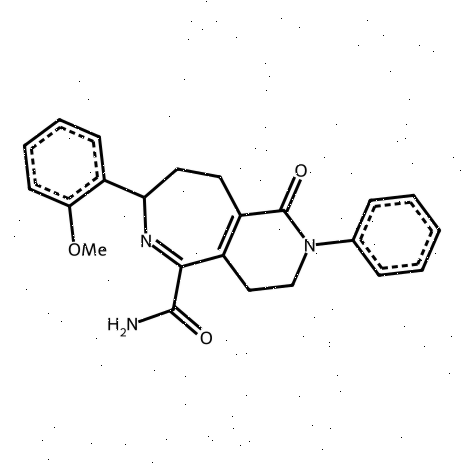 COc1ccccc1C1CCC2=C(CCN(c3ccccc3)C2=O)C(C(N)=O)=N1